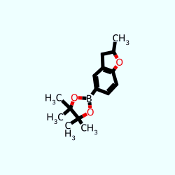 CC1Cc2cc(B3OC(C)(C)C(C)(C)O3)ccc2O1